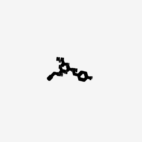 C#CCNc1nc(N)nc(NCc2ccc(F)cc2)n1